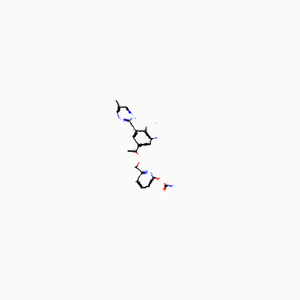 COc1c(N)cc(C(C)OCc2cccc(OC(N)=O)n2)cc1-c1ncc(C)cn1